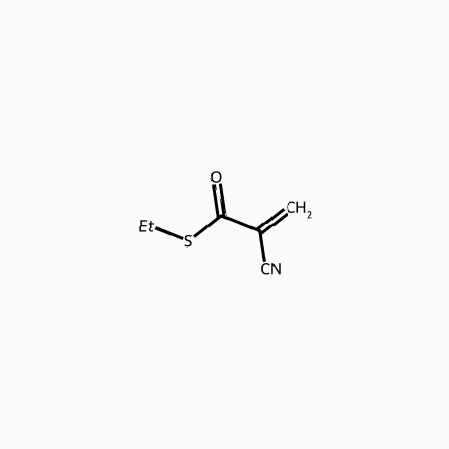 C=C(C#N)C(=O)SCC